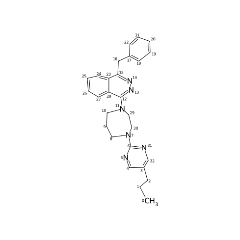 CCCc1cnc(N2CCCN(c3nnc(Cc4ccccc4)c4ccccc34)CC2)nc1